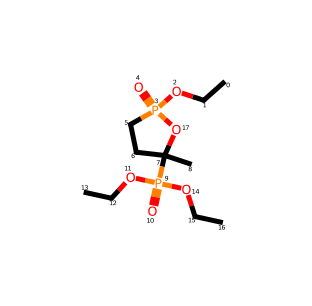 CCOP1(=O)CCC(C)(P(=O)(OCC)OCC)O1